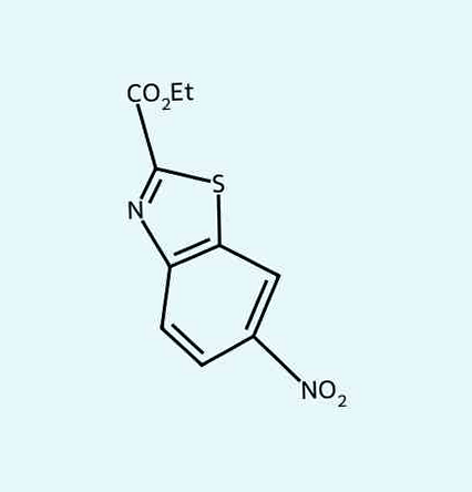 CCOC(=O)c1nc2ccc([N+](=O)[O-])cc2s1